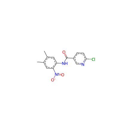 Cc1cc(NC(=O)c2ccc(Cl)nc2)c([N+](=O)[O-])cc1C